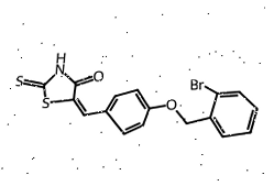 O=C1NC(=S)SC1=Cc1ccc(OCc2ccccc2Br)cc1